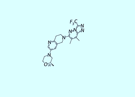 Cc1c(N2CCc3ncc(N4CCO[C@H](C)C4)cc3C2)nn2c(C(F)(F)F)nnc2c1C